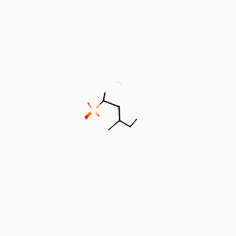 O=C(O)CC(CC(C(=O)O)P(=O)(O)O)C(=O)O.[NaH]